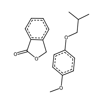 COc1ccc(OCC(C)C)cc1.O=C1OCc2ccccc21